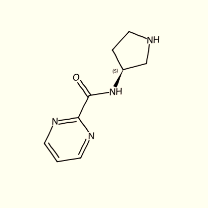 O=C(N[C@H]1CCNC1)c1ncccn1